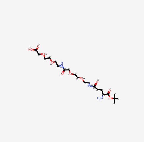 CC(C)(C)OC(=O)[C@@H](N)CCC(=O)NCCOCCOCC(=O)NCCOCCOCC(=O)O